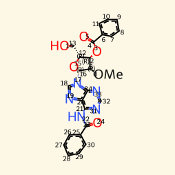 CO[C@@H]1[C@H](OC(=O)c2ccccc2)[C@@H](CO)O[C@H]1n1cnc2c(NC(=O)c3ccccc3)ncnc21